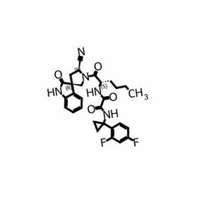 CCCC[C@H](NC(=O)C(=O)NC1(c2ccc(F)cc2F)CC1)C(=O)N1C[C@]2(C[C@H]1C#N)C(=O)Nc1ccccc12